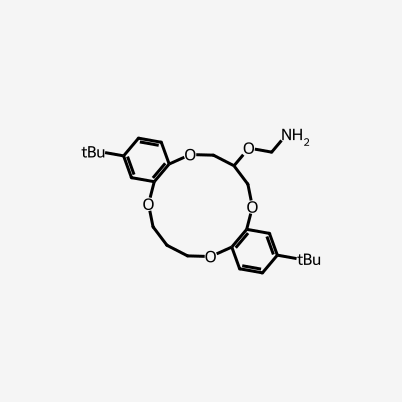 CC(C)(C)c1ccc2c(c1)OCCCOc1ccc(C(C)(C)C)cc1OCC(OCN)CO2